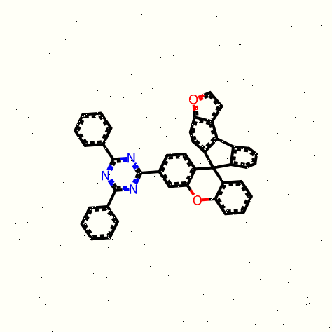 c1ccc(-c2nc(-c3ccccc3)nc(-c3ccc4c(c3)Oc3ccccc3C43c4ccccc4-c4c3ccc3occc43)n2)cc1